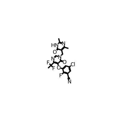 Cc1nc(C)c(Cn2cnc(C(C)(F)F)c(Oc3cc(Cl)cc(C#N)c3F)c2=O)c(=O)[nH]1